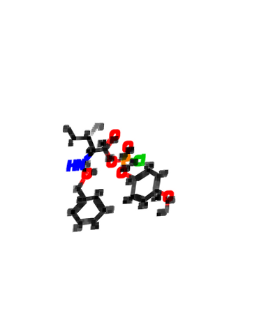 CC[C@H](C)[C@H](NOCc1ccccc1)C(=O)OP(=O)(Cl)Oc1ccc(OC)cc1